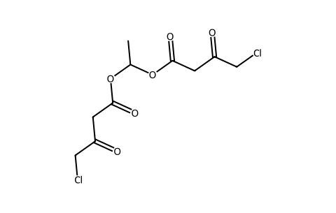 CC(OC(=O)CC(=O)CCl)OC(=O)CC(=O)CCl